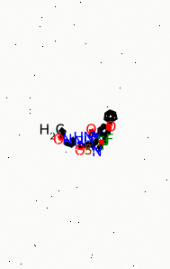 C=CC(=O)N1CCC(NC(=O)c2sc3nccc4c3c2NC(=O)N4c2ccc(Oc3ccccc3)cc2C(F)(F)F)C1